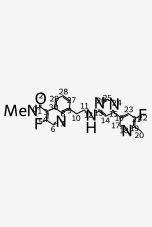 CNC(=O)c1c(F)cnc2c(CCNc3cc(-c4cnc(C)c(F)c4)ncn3)cccc12